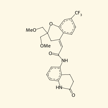 COCC1(COC)C/C(=C\C(=O)Nc2cccc3c2CCC(=O)N3)c2ccc(C(F)(F)F)cc2O1